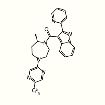 C[C@@H]1CCN(c2cnc(C(F)(F)F)cn2)CCN1C(=O)c1c(-c2ccccn2)nn2ccccc12